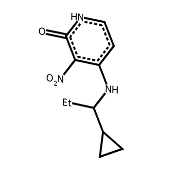 CCC(Nc1cc[nH]c(=O)c1[N+](=O)[O-])C1CC1